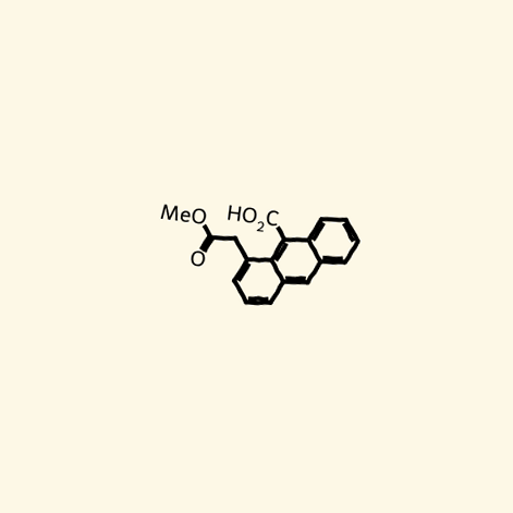 COC(=O)Cc1cccc2cc3ccccc3c(C(=O)O)c12